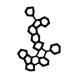 c1ccc(N2c3cc4cc5c(ccc6c5c5ccccc5n6-c5ccccc5)cc4cc3B3c4c(cccc42)-c2cccc4c5ccccc5n3c24)cc1